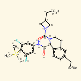 COCc1ccc2c(c1)CCN(C(=O)N1CC(CC(=O)O)C1)[C@H]2C(=O)Nc1cc(F)c(S(C)(C)C)c(F)c1